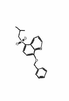 CC(C)CS(=O)(=O)c1ccc(OCc2ccccc2)c2ncccc12